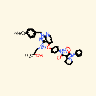 COc1ccc(Cn2nc(NCC(C)O)c3c(Oc4ccc(NC(=O)c5c6n(n(-c7ccccc7)c5=O)CCCC6)cc4)ccnc32)cc1